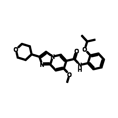 COc1cc2nc(C3CCOCC3)cn2cc1C(=O)Nc1ccccc1OC(C)C